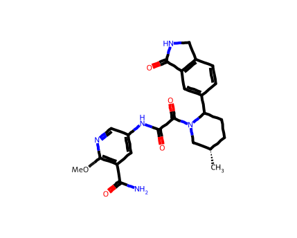 COc1ncc(NC(=O)C(=O)N2C[C@@H](C)CCC2c2ccc3c(c2)C(=O)NC3)cc1C(N)=O